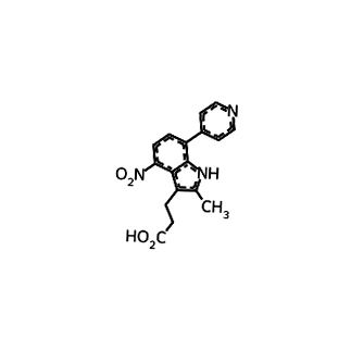 Cc1[nH]c2c(-c3ccncc3)ccc([N+](=O)[O-])c2c1CCC(=O)O